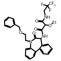 CCOC(C(=O)NCC(F)(F)C(F)(F)F)C(=O)N[C@@H]1C(=O)N(CCOCc2ccccc2)c2ccccc2-c2ccccc21